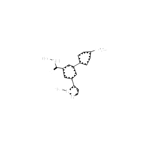 COc1ccc(-c2cc(C(=O)NC(C)(C)C)cc(-c3ccnn3C(C)(C)C)c2)cc1